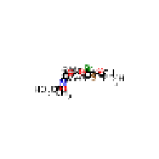 COc1cc2c(cc1OCCCOc1c(OC)cc3sc(C(=O)C[C@H](C)C(=O)O)cc3c1Br)CN(C(=O)C[C@H](C)C(=O)O)C2